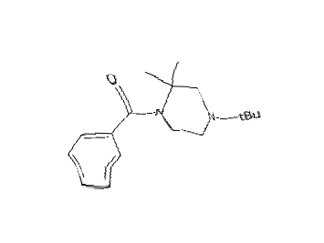 CC(C)(C)N1CCN(C(=O)c2ccccc2)C(C)(C)C1